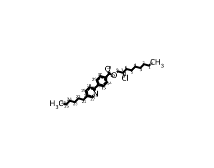 CCCCCCC[C@@H](Cl)COC(=O)c1ccc(-c2ccc(CCCCCC)cn2)cc1